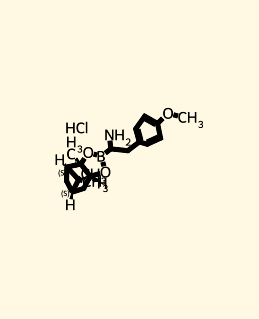 COc1ccc(CC(N)B2O[C@@H]3C[C@@H]4C[C@@H](C4(C)C)[C@]3(C)O2)cc1.Cl